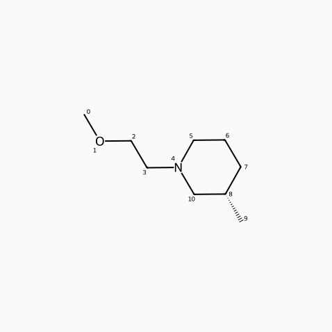 COCCN1CCC[C@H](C)C1